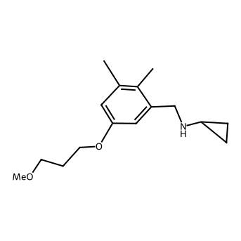 COCCCOc1cc(C)c(C)c(CNC2CC2)c1